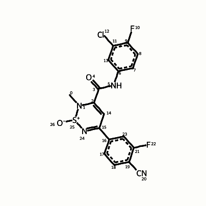 CN1C(C(=O)Nc2ccc(F)c(Cl)c2)=CC(c2ccc(C#N)c(F)c2)=N[S+]1[O-]